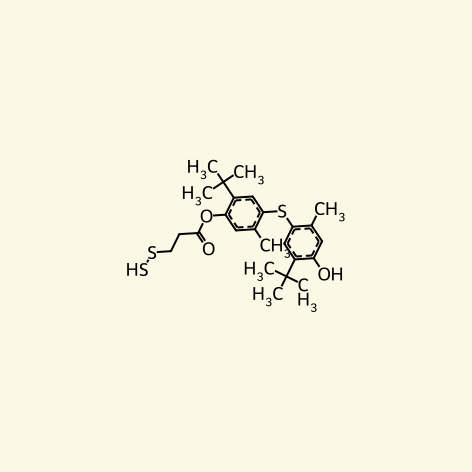 Cc1cc(O)c(C(C)(C)C)cc1Sc1cc(C(C)(C)C)c(OC(=O)CCSS)cc1C